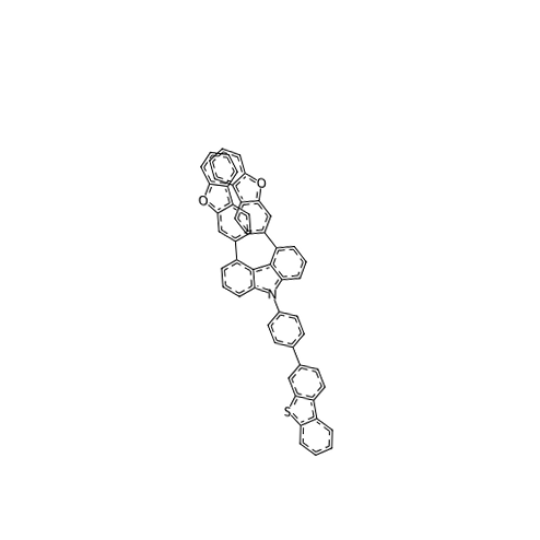 c1ccc2c(c1)oc1cc(-c3cccc4c3c3c(-c5ccc6c(c5)oc5ccccc56)cccc3n4-c3ccc(-c4ccc5c(c4)sc4ccccc45)cc3)ccc12